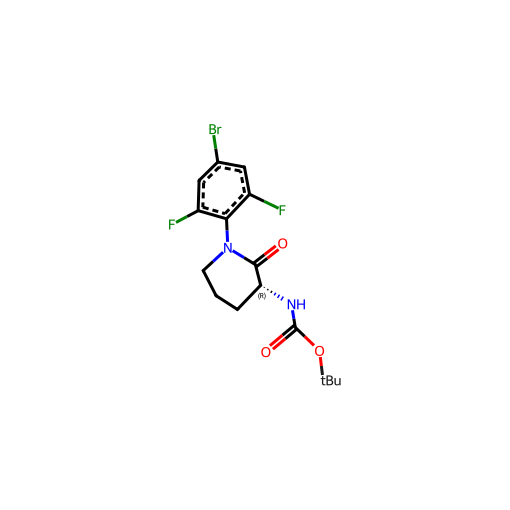 CC(C)(C)OC(=O)N[C@@H]1CCCN(c2c(F)cc(Br)cc2F)C1=O